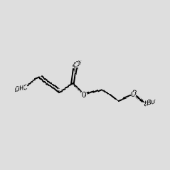 CC(C)(C)OCCOC(=O)/C=C/C=O